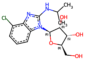 CC(C)Nc1nc2c(Cl)cccc2n1[C@@H]1O[C@H](CO)[C@@H](O)[C@H]1O